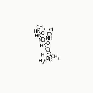 CCNC(=O)Nc1cc(Nc2ccc(Cl)cc2)c(C(=O)Nc2ccc(CC(C)(C)C(=O)OC)cc2)cn1